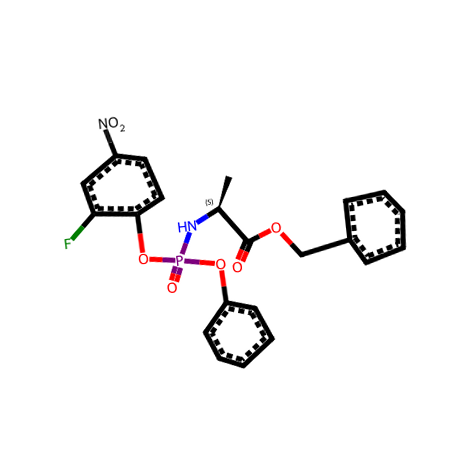 C[C@H](NP(=O)(Oc1ccccc1)Oc1ccc([N+](=O)[O-])cc1F)C(=O)OCc1ccccc1